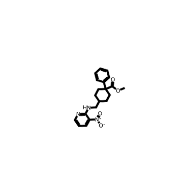 COC(=O)C1(c2ccccc2)CCC(CNc2ncccc2[N+](=O)[O-])CC1